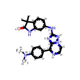 CC1(C)C(=O)Nc2cc(Nc3nc4c(-c5ccc(N(C(F)(F)F)C(F)(F)F)cc5)nccn4n3)ccc21